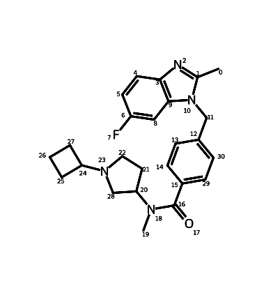 Cc1nc2ccc(F)cc2n1Cc1ccc(C(=O)N(C)C2CCN(C3CCC3)C2)cc1